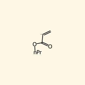 C=[C]C(=O)OCCC